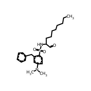 CCCCCCCCC(C=O)NS(=O)(=O)c1ccc(N(C)C)cc1Cc1ccccc1